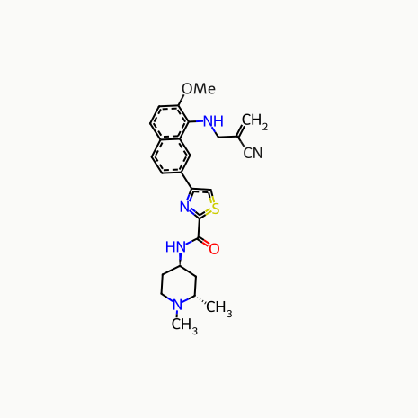 C=C(C#N)CNc1c(OC)ccc2ccc(-c3csc(C(=O)N[C@@H]4CCN(C)[C@@H](C)C4)n3)cc12